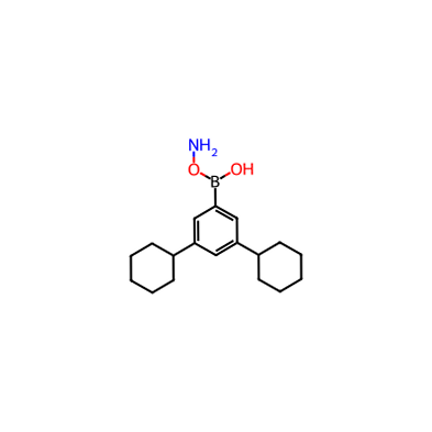 NOB(O)c1cc(C2CCCCC2)cc(C2CCCCC2)c1